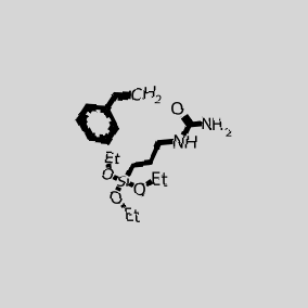 C=Cc1ccccc1.CCO[Si](CCCNC(N)=O)(OCC)OCC